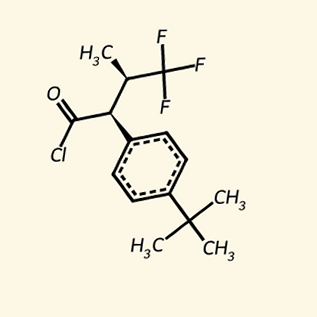 C[C@H]([C@H](C(=O)Cl)c1ccc(C(C)(C)C)cc1)C(F)(F)F